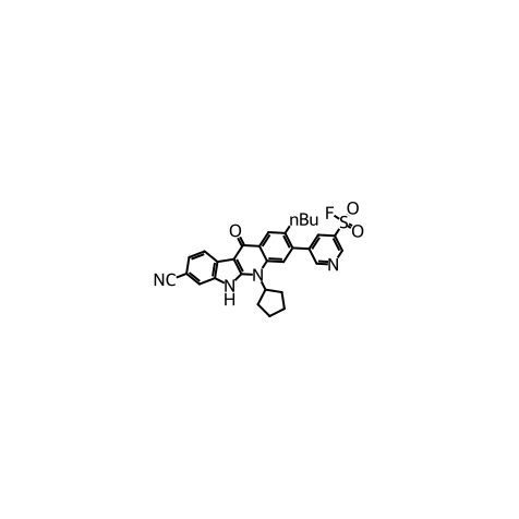 CCCCc1cc2c(=O)c3c4ccc(C#N)cc4[nH]c3n(C3CCCC3)c2cc1-c1cncc(S(=O)(=O)F)c1